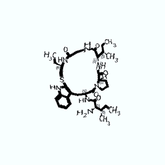 CC[C@@H]1CSc2[nH]c3ccccc3c2C[C@H](NC(=O)[C@@H](N)[C@@H](C)CC)C(=O)N2CCC[C@H]2C(=O)N[C@@H]([C@@H](C)CC)C(=O)NCC(=O)N1